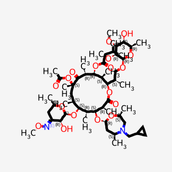 CO/N=C1\C[C@@H](C)O[C@@H](O[C@@H]2[C@@H](C)[C@H](O[C@H]3C[C@H](C)N(CC4CC4)C[C@H](C)O3)[C@@H](C)C(=O)O[C@H]([C@@H](C)CO[C@@H]3O[C@H](C)[C@@H](O)[C@@H](OC)[C@H]3OC)[C@H](C)[C@@H](OC(=O)CC(C)C)[C@@H](C)C(=O)[C@@](C)(OC(C)=O)C[C@@H]2C)[C@@H]1O